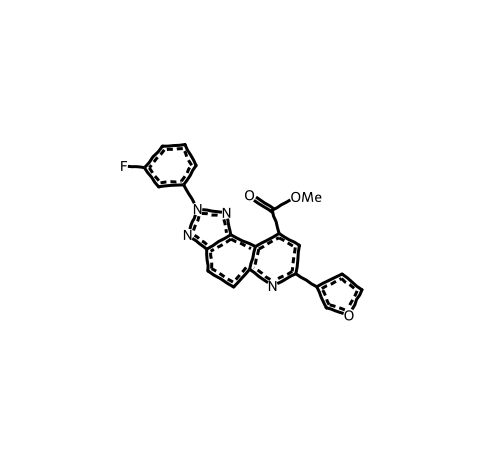 COC(=O)c1cc(-c2ccoc2)nc2ccc3nn(-c4cccc(F)c4)nc3c12